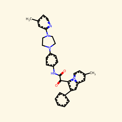 Cc1ccnc(N2CCN(c3ccc(NC(=O)C(=O)c4c(-c5ccccc5)cc5cc(C)ccn45)cc3)CC2)c1